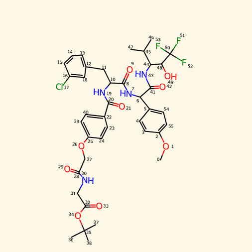 COc1ccc(C(NC(=O)C(Cc2cccc(Cl)c2)NC(=O)c2ccc(OCC(=O)NCC(=O)OC(C)(C)C)cc2)C(=O)NC(C(C)C)C(O)C(F)(F)F)cc1